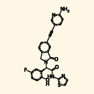 Nc1ccc(C#Cc2ccc3c(c2)C(=O)N([C@@H](C(=O)Nc2nccs2)c2cc(F)ccc2O)C3)cn1